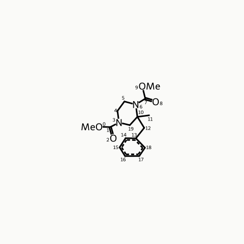 COC(=O)N1CCN(C(=O)OC)C(C)(Cc2ccccc2)C1